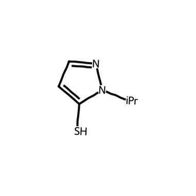 CC(C)n1nccc1S